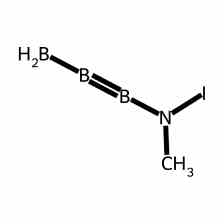 BB=BN(C)I